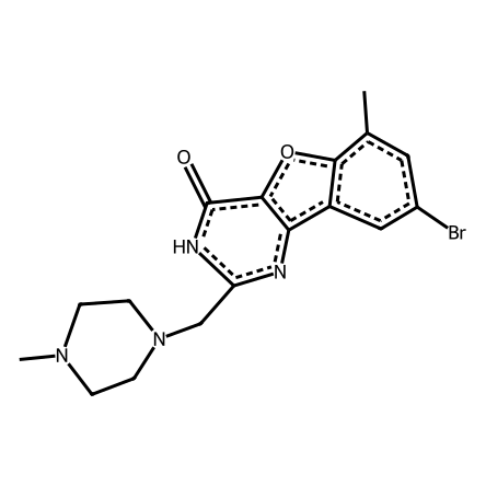 Cc1cc(Br)cc2c1oc1c(=O)[nH]c(CN3CCN(C)CC3)nc12